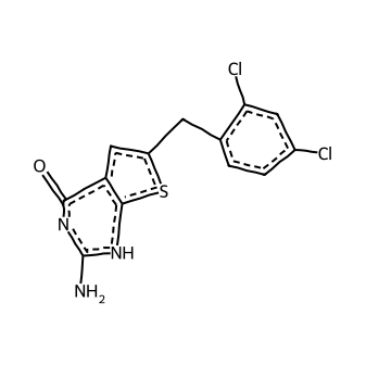 Nc1nc(=O)c2cc(Cc3ccc(Cl)cc3Cl)sc2[nH]1